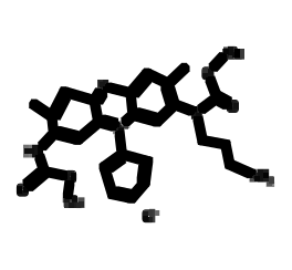 Cc1cc2nc3cc(C)c(N(CCCN)C(=O)OC(C)(C)C)cc3[n+](-c3ccccc3)c2cc1NC(=O)OC(C)(C)C.[Cl-]